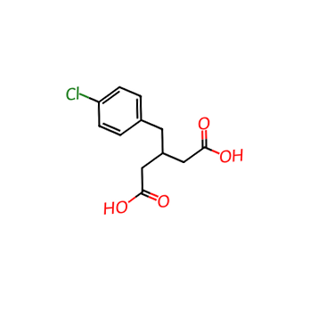 O=C(O)CC(CC(=O)O)Cc1ccc(Cl)cc1